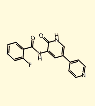 O=C(Nc1cc(-c2ccncc2)c[nH]c1=O)c1ccccc1F